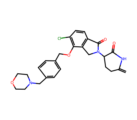 C=C1CCC(N2Cc3c(ccc(Cl)c3OCc3ccc(CN4CCOCC4)cc3)C2=O)C(=O)N1